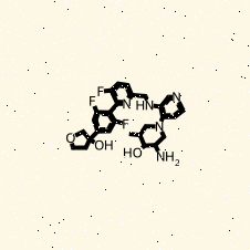 CC1CN(c2ccncc2NCc2ccc(F)c(-c3c(F)cc(C4(O)CCOC4)cc3F)n2)CC(N)C1O